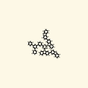 c1ccc(-c2cc(-c3ccccc3)cc(-c3cccc(-c4nc(-n5c6ccccc6c6ccc(-c7ccc8sc9ccccc9c8c7)cc65)nc(-n5c6ccccc6c6ccc(-c7ccc8sc9ccccc9c8c7)cc65)n4)c3)c2)cc1